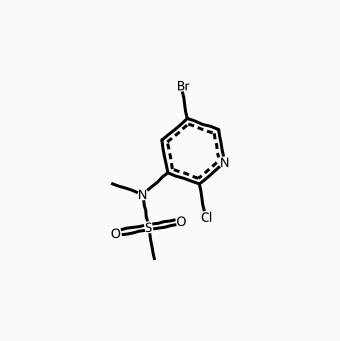 CN(c1cc(Br)cnc1Cl)S(C)(=O)=O